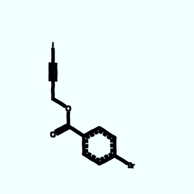 O=C(OCC#CI)c1ccc(Br)cc1